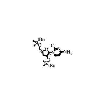 CC(C)(C)[Si](C)(C)OC[C@@H]1CC(O[Si](C)(C)C(C)(C)C)[C@H](n2ccc(N)nc2=O)O1